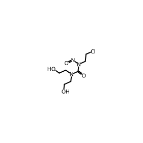 O=NN(CCCl)C(=O)N(CCO)CCO